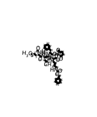 CSCC[C@H](NC=O)C(=O)N[C@@H](CC(C)C)C(=O)N[C@@H](Cc1ccccc1)C(=O)N[C@@H](CCCCNC(=O)OCc1ccccc1)C(=O)ON1C(=O)CCC1=O